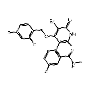 CNC(=O)c1cc(Br)ccc1-c1c(C)[nH]c(=O)c(Br)c1OCc1ccc(F)cc1F